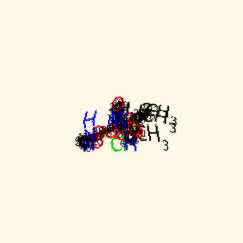 COc1ccc(Cl)c(Oc2c(NS(=O)(=O)c3ccc(C(C)(C)C)cc3)nc(N3CCOCC3)nc2OCCOC(=O)Nc2ccccn2)c1